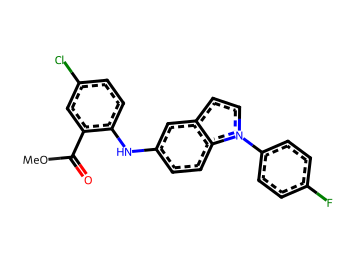 COC(=O)c1cc(Cl)ccc1Nc1ccc2c(ccn2-c2ccc(F)cc2)c1